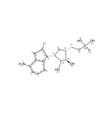 Cc1nc2c(N)ncnc2n1[C@@H]1O[C@H](COP(=O)(O)O)[C@@H](O)C1O